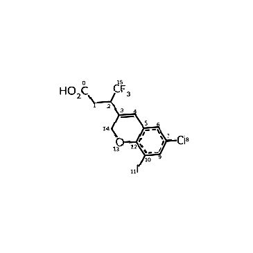 O=C(O)CC(C1=Cc2cc(Cl)cc(I)c2OC1)C(F)(F)F